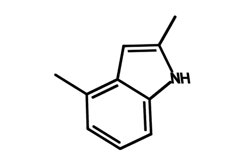 Cc1cc2c(C)cccc2[nH]1